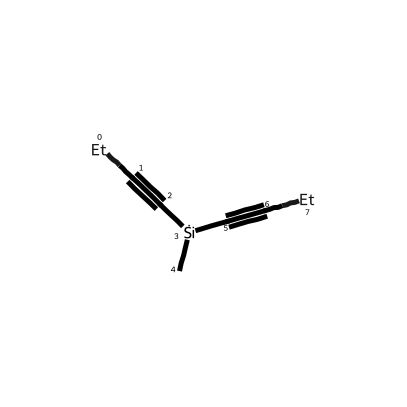 CCC#C[Si](C)C#CCC